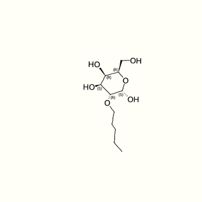 CCCCCO[C@@H]1[C@@H](O)[C@@H](O)[C@@H](CO)O[C@@H]1O